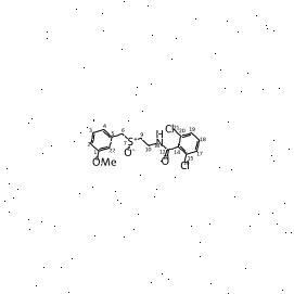 COc1cccc(C[S+]([O-])CCNC(=O)c2c(Cl)cccc2Cl)c1